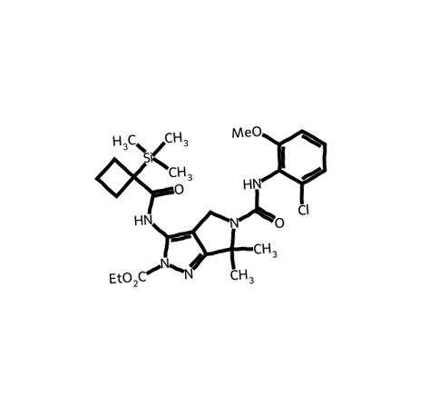 CCOC(=O)n1nc2c(c1NC(=O)C1([Si](C)(C)C)CCC1)CN(C(=O)Nc1c(Cl)cccc1OC)C2(C)C